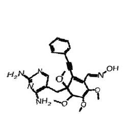 COC1=C(OC)C(OC)C(Cc2cnc(N)nc2N)(OC)C(C#Cc2ccccc2)=C1C=NO